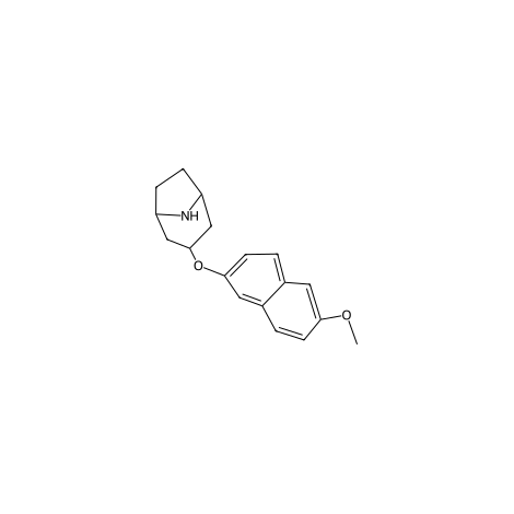 COc1ccc2cc(OC3CC4CCC(C3)N4)ccc2c1